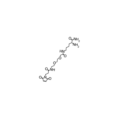 NC(=O)C(N)CCCCNC(=O)COCCOCCNC(=O)CCN1C(=O)C=CC1=O